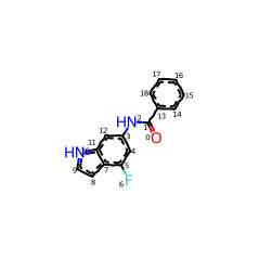 O=C(Nc1cc(F)c2cc[nH]c2c1)c1ccccc1